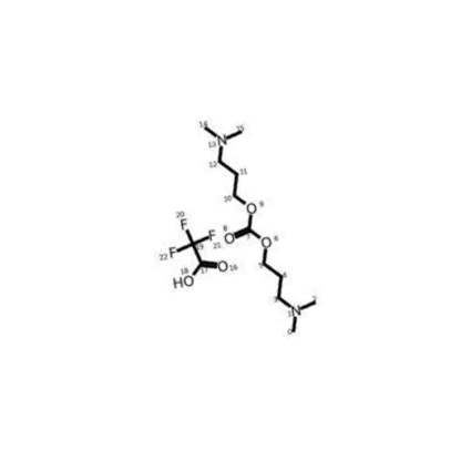 CN(C)CCCOC(=O)OCCCN(C)C.O=C(O)C(F)(F)F